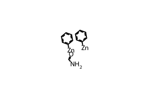 NC=O.[Zn][c]1ccccc1.[Zn][c]1ccccc1